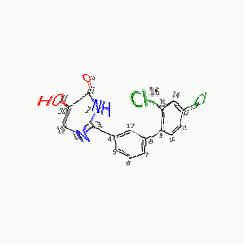 O=c1[nH]c(-c2cccc(-c3ccc(Cl)cc3Cl)c2)ncc1O